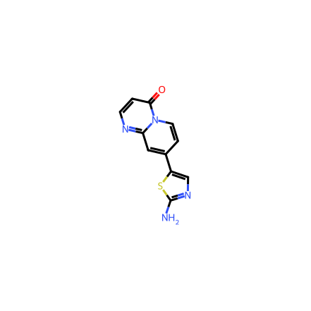 Nc1ncc(-c2ccn3c(=O)ccnc3c2)s1